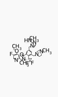 CCOc1cc([C@@H](C)N2C[C@@]3(CC3(F)F)c3c(CN4CCN(C)CC4)cc(Cn4ccnc4NC)cc3C2=O)ncc1F